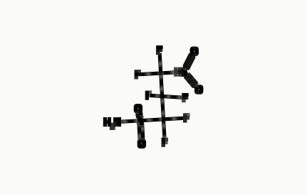 NS(=O)(=O)C(F)(F)C(F)(F)C(F)(F)[SH](=O)=O